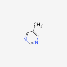 [CH2]c1cncnc1